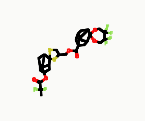 CC(F)(F)C(=O)OC12CC3CC(C1)C1(SCC(COC(=O)C45CC6CC(C4)C4(OCC(F)(F)C(F)(F)CO4)C(C6)C5)S1)C(C3)C2